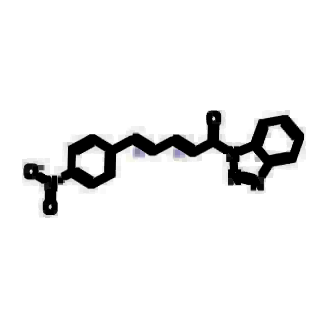 O=C(/C=C/C=C/c1ccc([N+](=O)[O-])cc1)n1nnc2ccccc21